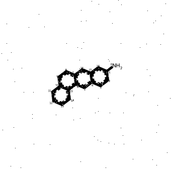 Nc1ccc2cc3c(ccc4ccccc43)cc2c1